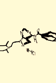 CC(C)N(CCn1ncc2c(NC(=O)C34CC5CC(C3)C(C5)C4)ncnc21)C(C)C.Cl